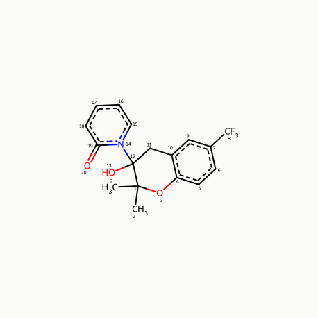 CC1(C)Oc2ccc(C(F)(F)F)cc2CC1(O)n1ccccc1=O